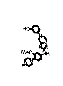 COc1cc(Nc2nc3n(n2)C=CN(c2cccc(O)c2)C3)ccc1N1CCN(C)CC1